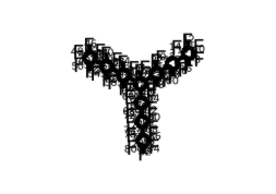 Fc1cc(-c2c(F)c(F)c(F)c(F)c2F)c(F)c(F)c1-c1c(F)c(F)c(-c2c(F)c(-c3c(F)c(F)c(-c4c(F)c(F)c(-c5c(F)c(F)c(F)c(F)c5F)c(F)c4F)c(F)c3F)c(F)c(-c3c(F)c(F)c(-c4c(F)c(F)c(-c5c(F)c(F)c(F)c(F)c5F)c(F)c4F)c(F)c3F)c2F)c(F)c1F